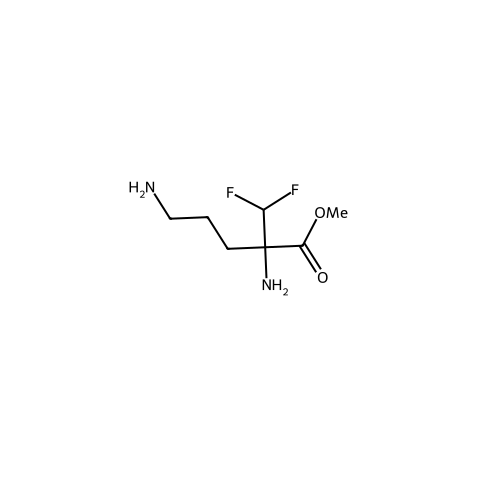 COC(=O)C(N)(CCCN)C(F)F